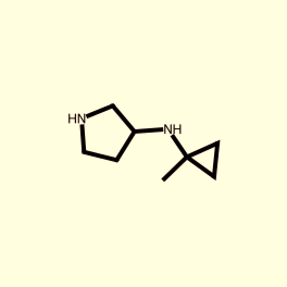 CC1(NC2CCNC2)CC1